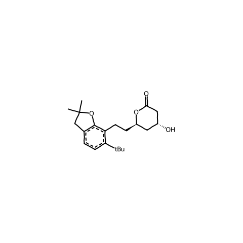 CC1(C)Cc2ccc(C(C)(C)C)c(CC[C@@H]3C[C@@H](O)CC(=O)O3)c2O1